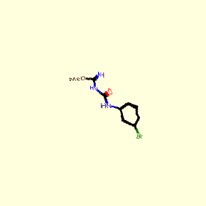 COC(=N)NC(=O)NC1CCCC(Br)C1